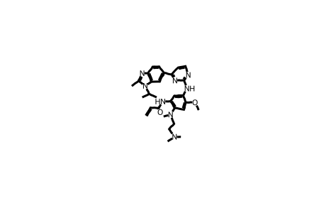 C=CC(=O)Nc1cc(Nc2nccc(-c3ccc4nc(C)n(C(C)C)c4c3)n2)c(OC)cc1N(C)CCN(C)C